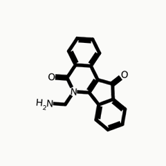 NCn1c2c(c3ccccc3c1=O)C(=O)c1ccccc1-2